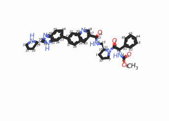 COC(=O)N[C@@H](C(=O)N1CCC[C@H]1CNC(=O)c1cnc2cc(-c3ccc4nc([C@@H]5CCCN5)[nH]c4c3)ccc2c1)c1ccccc1